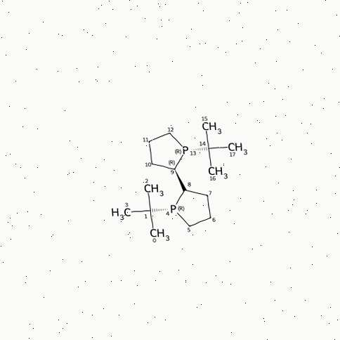 CC(C)(C)[P@@]1CCCC1[C@H]1CCC[P@]1C(C)(C)C